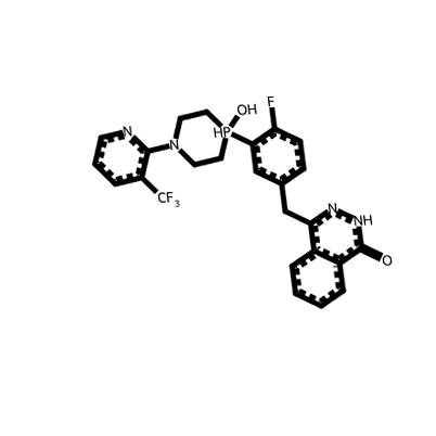 O=c1[nH]nc(Cc2ccc(F)c([PH]3(O)CCN(c4ncccc4C(F)(F)F)CC3)c2)c2ccccc12